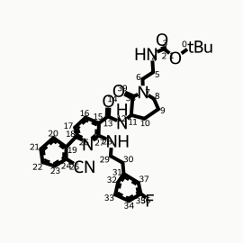 CC(C)(C)OC(=O)NCCN1CCCC(NC(=O)c2ccc(-c3ccccc3C#N)nc2NCCc2cccc(F)c2)C1=O